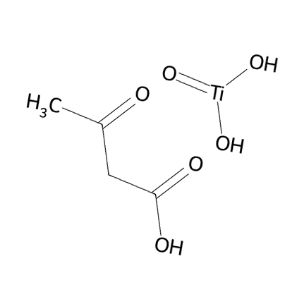 CC(=O)CC(=O)O.[O]=[Ti]([OH])[OH]